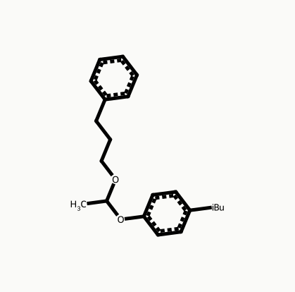 CCC(C)c1ccc(OC(C)OCCCc2ccccc2)cc1